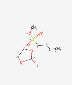 CCCCS(=O)(=O)OC.O=C1OCCO1